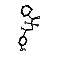 Cc1ccc(C(I)=CC(F)(F)C(=O)c2ccccc2)cc1